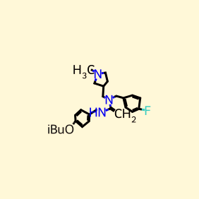 C=C(NCc1ccc(OCC(C)C)cc1)N(Cc1ccc(F)cc1)CC1CCN(C)C1